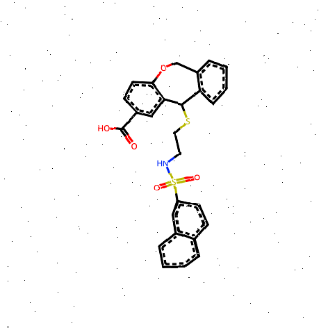 O=C(O)c1ccc2c(c1)C(SCCNS(=O)(=O)c1ccc3ccccc3c1)c1ccccc1CO2